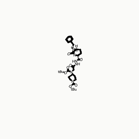 CC(C)(C)OC(=O)N1CCC(N(CC(=O)NNC(=O)[C@@H]2CC[C@H]3CN2C(=O)N3OCc2ccccc2)C(=O)OC(C)(C)C)CC1